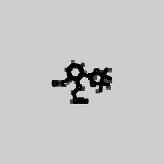 COCOc1c(C=O)cccc1B1OC(C)(C)C(C)(C)O1